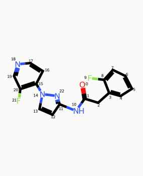 O=C(Cc1ccccc1F)Nc1ccn(-c2ccncc2F)n1